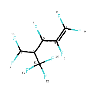 FC(F)=C(F)C(F)C(C(F)F)C(F)(F)F